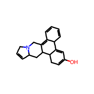 OC1=CCC2C(=C1)C1C=CC=CC1=C1CN3CC=CC3CC12